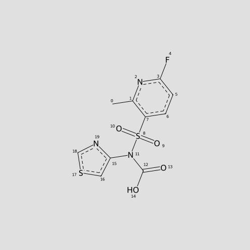 Cc1nc(F)ccc1S(=O)(=O)N(C(=O)O)c1cscn1